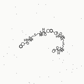 O=C(Nc1nnc(CCSCCc2nnc(NC3OC3C3CCc4ccccc4C3)s2)s1)C1CCc2ccc(C3CC4CC3CC4C(=O)Nc3nnc(CCSCCc4nnc(NC(=O)C5CC6CCC5C6)s4)s3)cc2C1